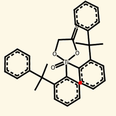 CC(C)(c1ccccc1)c1cccc[c]1[Ti]1(=[O])([c]2ccccc2C(C)(C)c2ccccc2)[O]CC(=O)[O]1